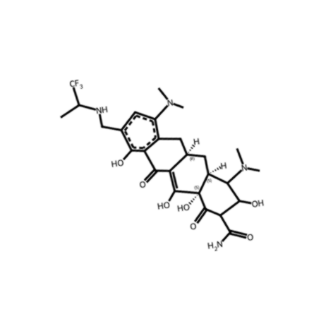 CC(NCc1cc(N(C)C)c2c(c1O)C(=O)C1=C(O)[C@]3(O)C(=O)C(C(N)=O)C(O)C(N(C)C)[C@@H]3C[C@@H]1C2)C(F)(F)F